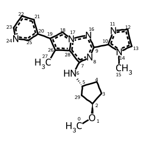 CO[C@@H]1CC[C@@H](Nc2nc(-c3nccn3C)nn3cc(-c4cccnc4)c(C)c23)C1